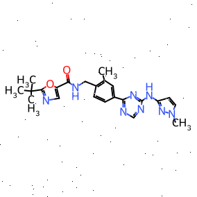 Cc1cc(-c2ncnc(Nc3ccn(C)n3)n2)ccc1CNC(=O)c1cnc(C(C)(C)C)o1